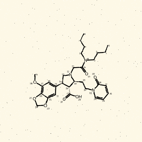 CCCCN(CCCC)C(=O)CN1C[C@H](c2cc(OC)c3c(c2)OCO3)[C@@H](C(=O)O)[C@@H]1CCn1ccccc1=O